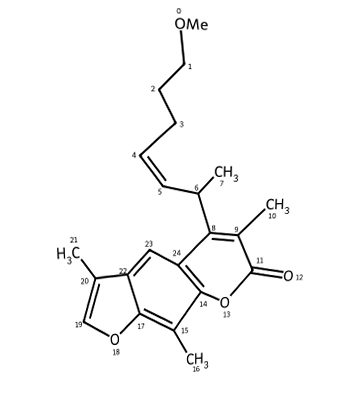 COCCC/C=C\C(C)c1c(C)c(=O)oc2c(C)c3occ(C)c3cc12